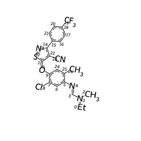 CCN(C)C=Nc1cc(Cl)c(Oc2snc(-c3ccc(C(F)(F)F)cc3)c2C#N)cc1C